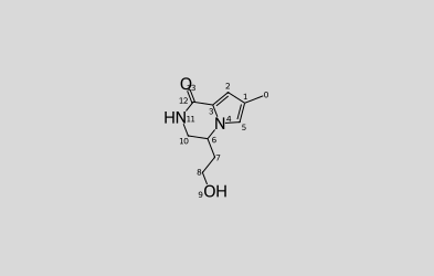 Cc1cc2n(c1)C(CCO)CNC2=O